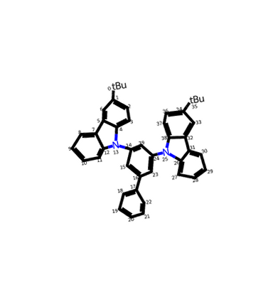 CC(C)(C)c1ccc2c(c1)c1ccccc1n2-c1cc(-c2ccccc2)cc(-n2c3ccccc3c3cc(C(C)(C)C)ccc32)c1